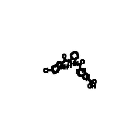 O=C(N[C@@H]1CCCC[C@@H]1NC(=O)c1cc2cc(Cl)ccc2[nH]1)c1ncc2c(n1)CN(C(=O)O)C2